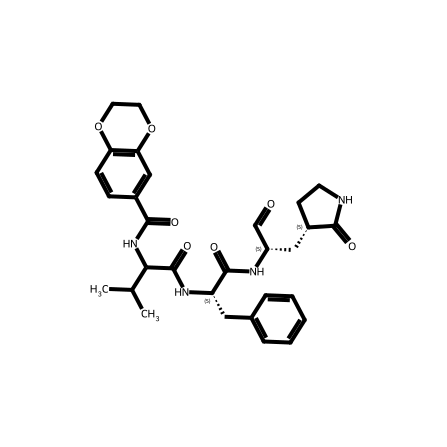 CC(C)C(NC(=O)c1ccc2c(c1)OCCO2)C(=O)N[C@@H](Cc1ccccc1)C(=O)N[C@H](C=O)C[C@@H]1CCNC1=O